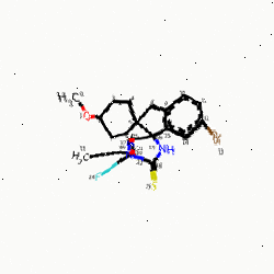 COC1CCC2(CC1)Cc1ccc(Br)cc1C21NC(=S)N2CC(C)(F)CN=C21